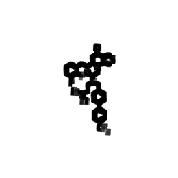 CCN(CC)CCN(Cc1ccc(-c2ccc(C(F)(F)F)cc2)cc1)C(=O)Cn1c(CCc2cccc(F)c2F)cc(=O)c2cscc21